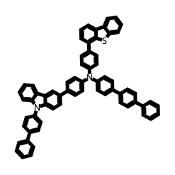 c1ccc(-c2ccc(-c3ccc(N(c4ccc(-c5ccc6c(c5)c5ccccc5n6-c5ccc(-c6ccccc6)cc5)cc4)c4ccc(-c5cccc6c5sc5ccccc56)cc4)cc3)cc2)cc1